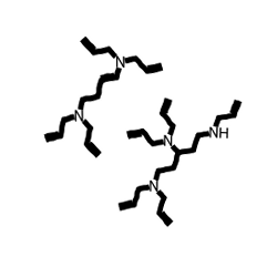 C=CCN(C=CCCN(CC=C)CC=C)CC=C.C=CCNCCC(CCN(CC=C)CC=C)N(CC=C)CC=C